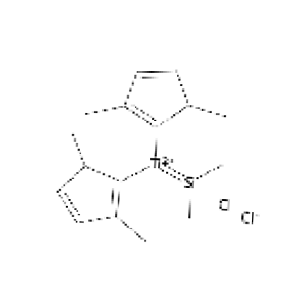 CC1=[C]([Ti+2]([C]2=C(C)C=CC2C)=[Si](C)C)C(C)C=C1.[Cl-].[Cl-]